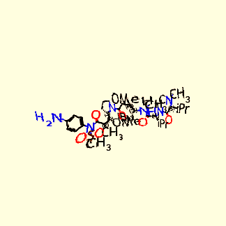 CC[C@@H](C)[C@@H]([C@@H](CC(=O)N1CCC[C@H]1[C@H](OC)[C@@H](C)C(=O)N(c1ccc(N)cc1)S(C)(=O)=O)OC)N(C)C(=O)[C@@H](NC(=O)[C@H](C(C)C)N(C)C)C(C)C